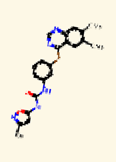 COc1cc2ncnc(Sc3cccc(NC(=O)Nc4cc(C(C)(C)C)no4)c3)c2cc1OC